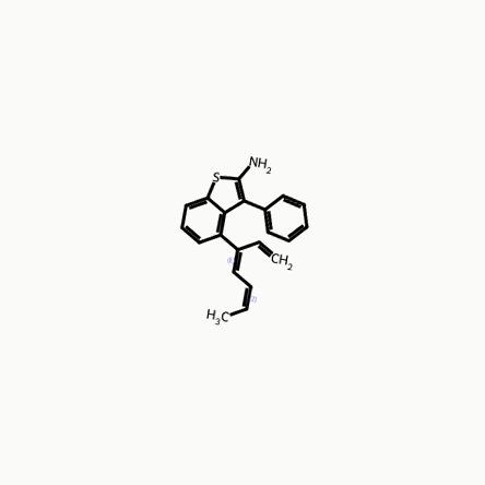 C=C/C(=C\C=C/C)c1cccc2sc(N)c(-c3ccccc3)c12